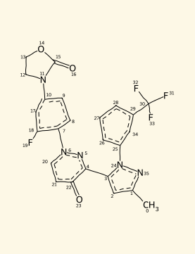 Cc1cc(-c2nn(-c3ccc(N4CCOC4=O)cc3F)ccc2=O)n(-c2cccc(C(F)(F)F)c2)n1